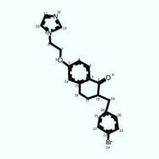 O=C1c2ccc(OCCn3ccnc3)cc2CCC1Cc1ccc(Br)cc1